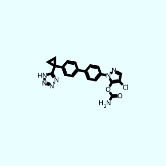 NC(=O)Oc1c(Cl)cnn1-c1ccc(-c2ccc(C3(c4nnn[nH]4)CC3)cc2)cc1